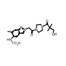 Cc1cc2nn(CC(=O)N3CCN(C(=O)C(C)(C)CO)CC3)cc2cc1NC(=O)O